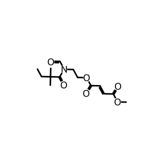 CCC(C)(C)C(=O)N(C=O)CCOC(=O)/C=C/C(=O)OC